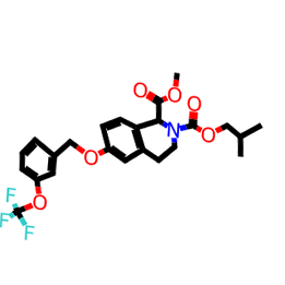 COC(=O)C1c2ccc(OCc3cccc(OC(F)(F)F)c3)cc2CCN1C(=O)OCC(C)C